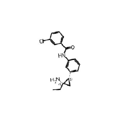 CC[C@]1(N)C[C@H]1c1cccc(NC(=O)c2cccc(Cl)c2)c1